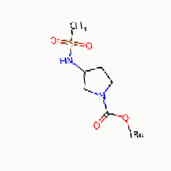 CC(C)(C)OC(=O)N1CCC(NS(C)(=O)=O)C1